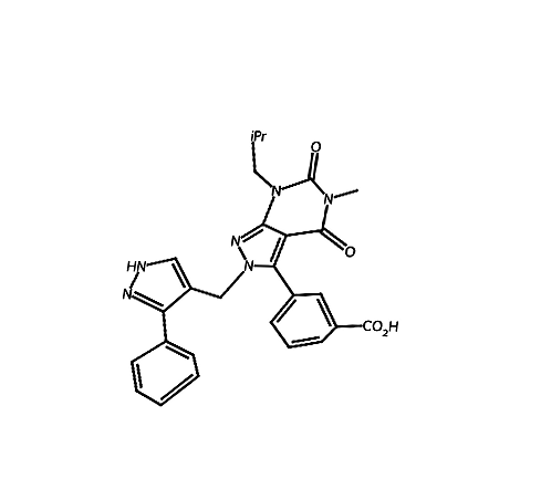 CC(C)Cn1c(=O)n(C)c(=O)c2c(-c3cccc(C(=O)O)c3)n(Cc3c[nH]nc3-c3ccccc3)nc21